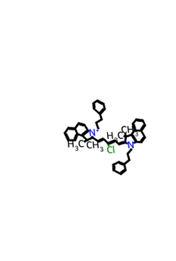 CC1(C)C(/C=C/C(Cl)=C/C=C2/N(CCCc3ccccc3)c3ccc4ccccc4c3C2(C)C)=[N+](CCCc2ccccc2)c2ccc3ccccc3c21